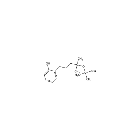 CCCC[Si](C)(C)O[Si](C)(C)CCCc1ccccc1O